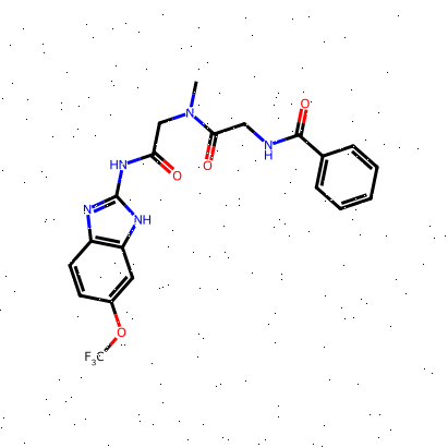 CN(CC(=O)Nc1nc2ccc(OC(F)(F)F)cc2[nH]1)C(=O)CNC(=O)c1ccccc1